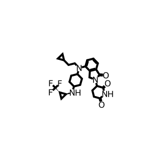 O=C1CCC(N2Cc3c(cccc3N(CCC3CC3)C3CCC(N[C@H]4C[C@@H]4C(F)(F)F)CC3)C2=O)C(=O)N1